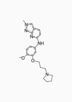 COc1ccc(Nc2ccc3cn(C)nc3n2)cc1OCCCN1CCCC1